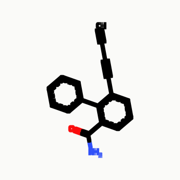 C#CC#Cc1cccc(C(N)=O)c1-c1ccccc1